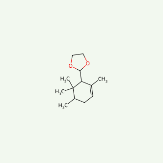 CC1=CCC(C)C(C)(C)C1C1OCCO1